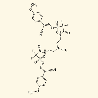 COc1ccc(C(C#N)=NOS(=O)(=O)C(F)(F)C(=O)NCCN(C)CCNC(=O)C(F)(F)S(=O)(=O)ON=C(C#N)c2ccc(OC)cc2)cc1